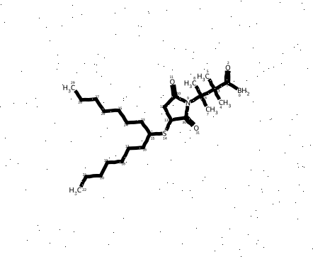 BC(=O)C(C)(C)C(C)(C)N1C(=O)CC(SC(CCCCCCC)CCCCCCC)C1=O